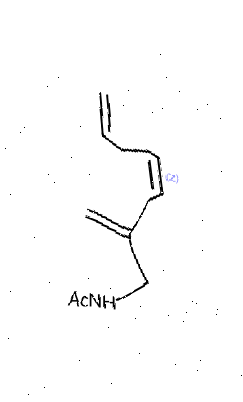 C=C/C=C\C(=C)CNC(C)=O